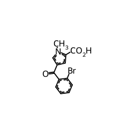 Cn1cc(C(=O)c2ccccc2Br)cc1C(=O)O